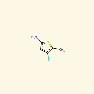 Cc1sc(N)cc1F